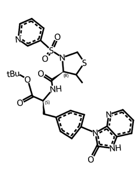 CC1SCN(S(=O)(=O)c2cccnc2)[C@@H]1C(=O)N[C@@H](Cc1ccc(-n2c(=O)[nH]c3cccnc32)cc1)C(=O)OC(C)(C)C